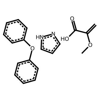 C=C(OC)C(=O)O.c1ccc(Oc2ccccc2)cc1.c1cn[nH]c1